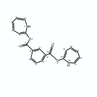 O=C(OC1=CC=CC=CN1)c1cccc(C(=O)OC2=CC=CC=CN2)c1